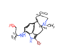 CC[C@@H](CO)Nc1ccc2c3c(c(Br)[nH]c13)C[C@@H]1C2=C[C@@H](C=O)CN1C